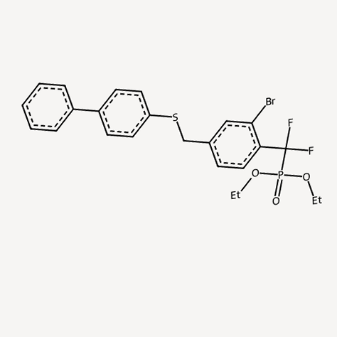 CCOP(=O)(OCC)C(F)(F)c1ccc(CSc2ccc(-c3ccccc3)cc2)cc1Br